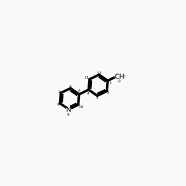 [CH]c1ccc(-c2cccnc2)cc1